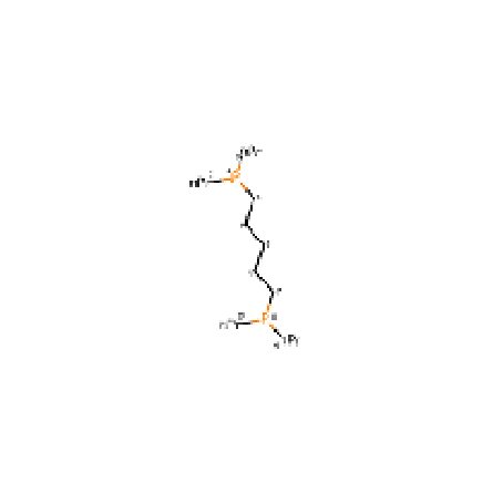 CCCP(CCC)CCCCCP(CCC)CCC